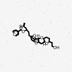 C=C(Br)CC(CCC12CC3OC4C(O1)[C@H]1OC(CCO)CCC1O[C@H]4C3O2)OC(=O)c1ccccc1